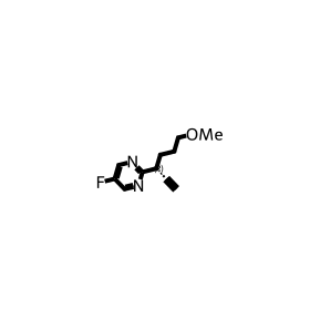 C#C[C@@H](CCCOC)c1ncc(F)cn1